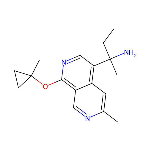 CCC(C)(N)c1cnc(OC2(C)CC2)c2cnc(C)cc12